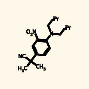 CC(C)CN(CC(C)C)c1ccc(C(C)(C)C#N)cc1[N+](=O)[O-]